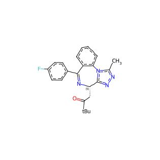 Cc1nnc2n1-c1ccccc1C(c1ccc(F)cc1)=N[C@H]2CC(=O)C(C)(C)C